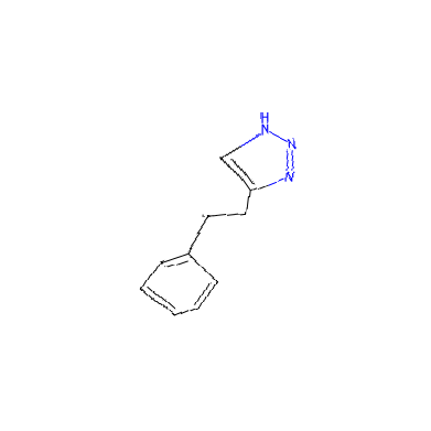 [CH](Cc1c[nH]nn1)c1ccccc1